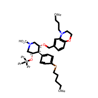 COCCCCSc1ccc([C@@H]2[C@@H](OCc3ccc4c(c3)N(CCCOC)CCO4)CN(C(=O)O)C[C@H]2O[Si](C(C)C)(C(C)C)C(C)C)cc1